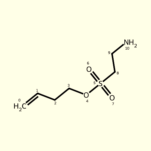 C=CCCOS(=O)(=O)CCN